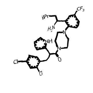 CC(C)CC(N)c1cc(C(F)(F)F)ccc1N1CCN(C(=O)C(Cc2ccc(Cl)cc2Cl)c2ccc[nH]2)CC1